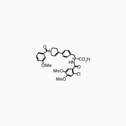 COc1cccc(C(=O)N2CC=C(c3ccc(C[C@H](NC(=O)c4cc(OC)c(OC)cc4Cl)C(=O)O)cc3)CC2)c1